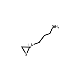 C1CS1.NCCC[SiH3]